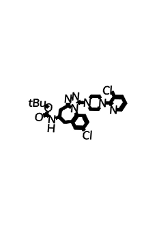 CC(C)(C)OC(=O)NC1Cc2cc(Cl)ccc2-n2c(nnc2N2CCN(c3ncccc3Cl)CC2)C1